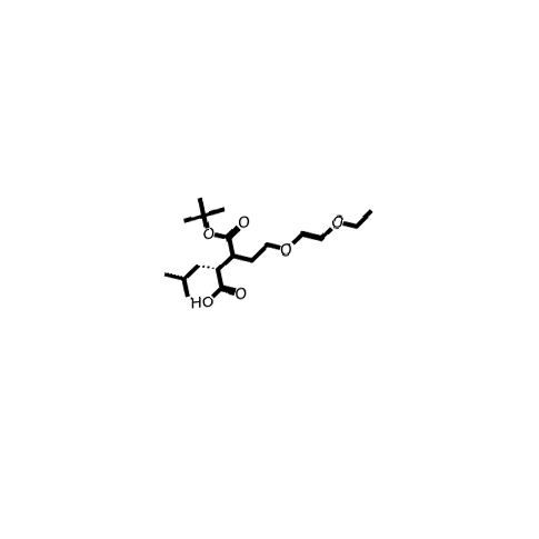 CCOCCOCCC(C(=O)OC(C)(C)C)[C@@H](CC(C)C)C(=O)O